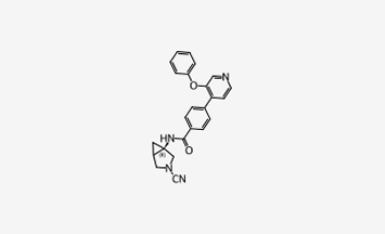 N#CN1CC2C[C@]2(NC(=O)c2ccc(-c3ccncc3Oc3ccccc3)cc2)C1